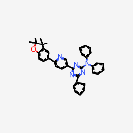 CC1(C)Oc2ccc(-c3ccc(-c4nc(-c5ccccc5)nc(N(c5ccccc5)c5ccccc5)n4)cn3)cc2C1(C)C